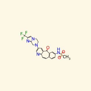 CS(=O)(=O)Nc1ccc2ccc3ncc(N4CCn5cc(C(F)(F)F)nc5C4)cc3c(=O)c2c1